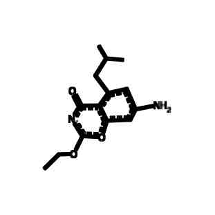 CCOc1nc(=O)c2c(CC(C)C)cc(N)cc2o1